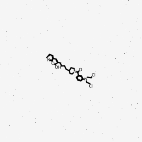 O=C(O)C(=Cc1cccnc1)CCCCC1CCN(C(=O)c2cccc(N(CCCl)CCCl)c2)CC1